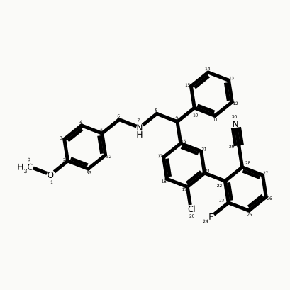 COc1ccc(CNCC(c2ccccc2)c2ccc(Cl)c(-c3c(F)cccc3C#N)c2)cc1